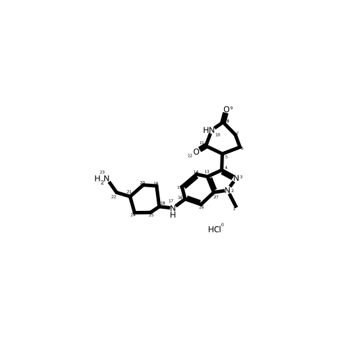 Cl.Cn1nc(C2CCC(=O)NC2=O)c2ccc(NC3CCC(CN)CC3)cc21